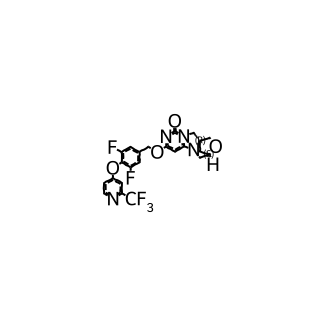 O=c1nc(OCc2cc(F)c(Oc3ccnc(C(F)(F)F)c3)c(F)c2)cc2n1C[C@]13CO[C@H](CN21)C3